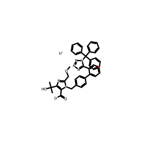 COCc1nc(C(C)(C)O)c(C(=O)[O-])n1Cc1ccc(-c2ccccc2-c2nnnn2C(c2ccccc2)(c2ccccc2)c2ccccc2)cc1.[Li+]